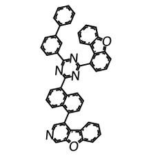 c1ccc(-c2cccc(-c3nc(-c4cccc5c(-c6cncc7oc8ccccc8c67)cccc45)nc(-c4cccc5oc6ccccc6c45)n3)c2)cc1